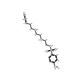 Cc1ccc(S(=O)(=O)OCCOCCOCCN=[N+]=[N-])cc1